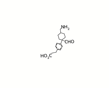 NCC1CCC(C=O)(c2ccc(CCC(=O)O)cc2)CC1